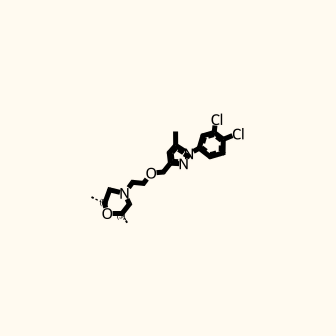 Cc1cc(COCCN2C[C@@H](C)O[C@@H](C)C2)nn1-c1ccc(Cl)c(Cl)c1